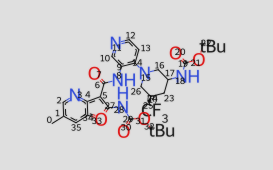 Cc1cnc2c(C(=O)Nc3cnccc3N3CC(NC(=O)OC(C)(C)C)C[C@@H](C(F)(F)F)C3)c(NC(=O)OC(C)(C)C)oc2c1